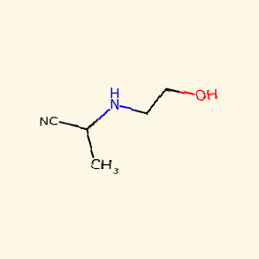 CC(C#N)NCCO